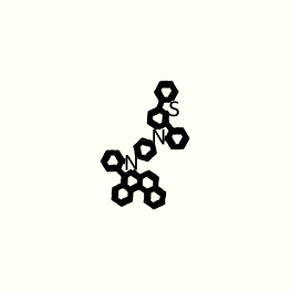 c1ccc2c(c1)ccc1c2c2ccccc2c2c3ccccc3n(-c3ccc(-n4c5ccccc5c5c6sc7ccccc7c6ccc54)cc3)c12